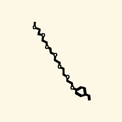 C=Cc1ccc(OCCOCCOCCOCCOCCOCCOC)cc1